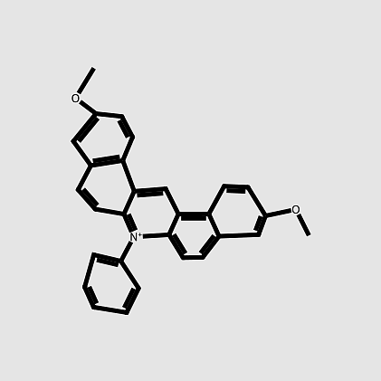 COc1ccc2c(ccc3c2cc2c4ccc(OC)cc4ccc2[n+]3-c2ccccc2)c1